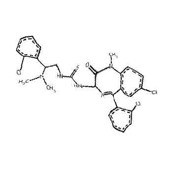 CN1C(=O)C(NC(=S)NCC(c2ccccc2Cl)N(C)C)N=C(c2ccccc2Cl)c2cc(Cl)ccc21